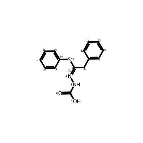 O=C(O)N/N=C(\Cc1ccccc1)Sc1ccccc1